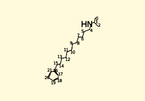 CC(C)NCCCCCCCCCCCCc1ccccc1